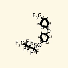 FC(F)(F)c1ccc(OC2CC=C(OSC(F)(F)C(F)(F)C(F)(F)C(F)(F)F)CC2)cc1